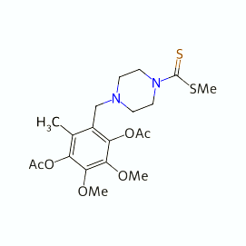 COc1c(OC(C)=O)c(C)c(CN2CCN(C(=S)SC)CC2)c(OC(C)=O)c1OC